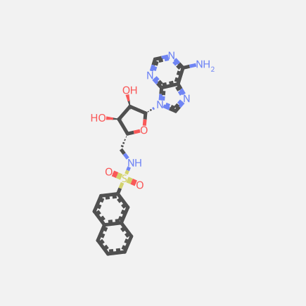 Nc1ncnc2c1ncn2[C@@H]1O[C@H](CNS(=O)(=O)c2ccc3ccccc3c2)[C@@H](O)[C@H]1O